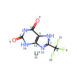 O=c1[n-]c(=O)c2[nH]c(C(F)(F)F)nc2[nH]1.[Li+]